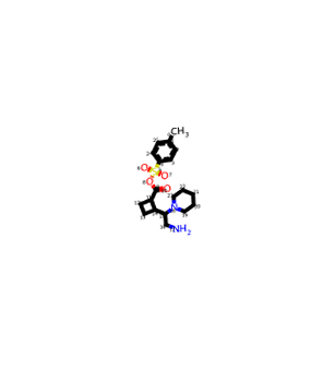 Cc1ccc(S(=O)(=O)OC(=O)C2CCC2C(CN)N2CCCCC2)cc1